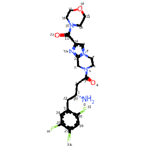 N[C@@H](CC(=O)N1CCn2cc(C(=O)N3CCOCC3)nc2C1)Cc1cc(F)c(F)cc1F